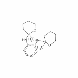 CC1(Nc2ccccc2NC2(C)CCCCO2)CCCCO1